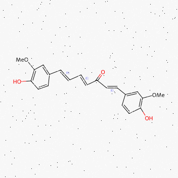 COc1cc(/C=C/C=C/C(=O)/C=C/c2ccc(O)c(OC)c2)ccc1O